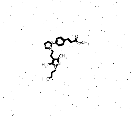 CCCCn1nc(C)c(CCN2CCC[C@H]2c2ccc(C=CC(=O)OC)cc2)c1C